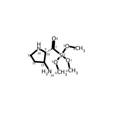 CO[Si](OC)(OC)C(=O)[C@H]1NCCC1N